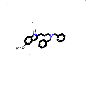 COc1ccc2[nH]c(CCCN(Cc3ccccc3)Cc3ccccc3)cc2c1